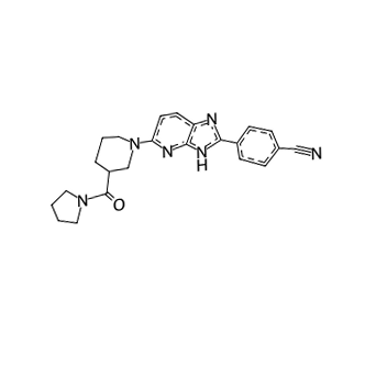 N#Cc1ccc(-c2nc3ccc(N4CCCC(C(=O)N5CCCC5)C4)nc3[nH]2)cc1